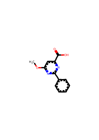 COc1cc(C(=O)O)nc(-c2ccccc2)n1